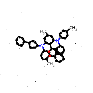 Cc1ccc(N(c2ccccc2)c2cc(C)cc(N(c3ccc(C)cc3)c3ccc(-c4ccccc4)cc3)c2-c2ccc3ccccc3c2)cc1